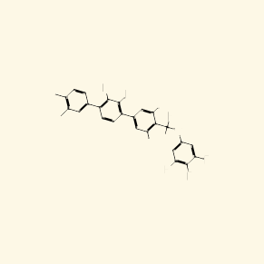 Cc1ccc(-c2ccc(-c3cc(F)c(C(F)(F)Oc4cc(F)c(F)c(F)c4)c(F)c3)c(F)c2F)cc1C